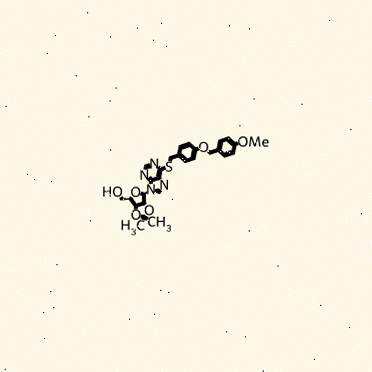 COc1ccc(COc2ccc(CSc3ncnc4c3ncn4[C@@H]3O[C@H](CO)C4OC(C)(C)OC43)cc2)cc1